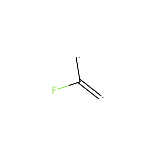 [CH]=C([CH2])F